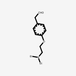 CCN(CC)CCOc1ccc(CC=O)cc1